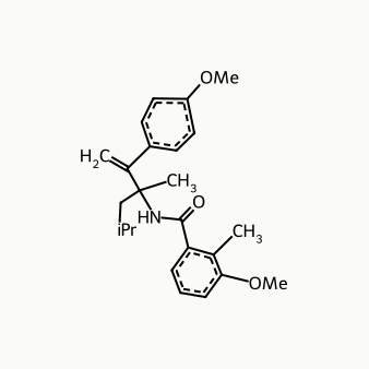 C=C(c1ccc(OC)cc1)C(C)(CC(C)C)NC(=O)c1cccc(OC)c1C